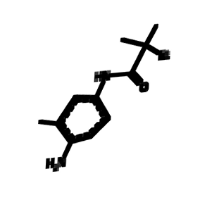 CCC(C)(C)C(=O)Nc1ccc(N)c(C)c1